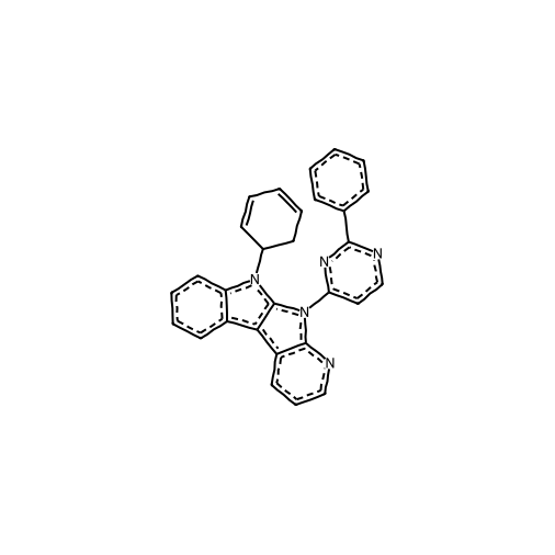 C1=CCC(n2c3ccccc3c3c4cccnc4n(-c4ccnc(-c5ccccc5)n4)c32)C=C1